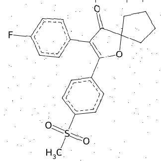 CS(=O)(=O)c1ccc(C2=C(c3ccc(F)cc3)C(=O)C3(CCCC3)O2)cc1